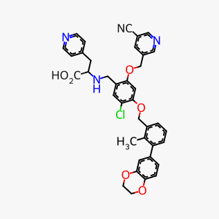 Cc1c(COc2cc(OCc3cncc(C#N)c3)c(CNC(Cc3ccncc3)C(=O)O)cc2Cl)cccc1-c1ccc2c(c1)OCCO2